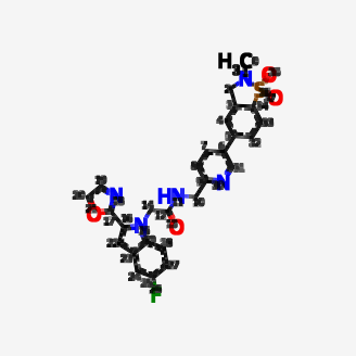 CN1Cc2cc(-c3ccc(CNC(=O)Cn4c(-c5ncco5)cc5cc(F)ccc54)nc3)ccc2S1(=O)=O